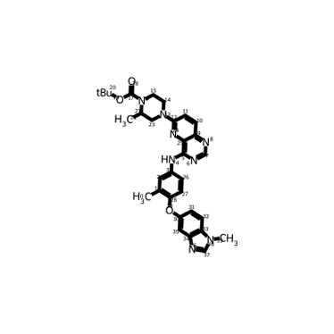 Cc1cc(Nc2ncnc3ccc(N4CCN(C(=O)OC(C)(C)C)C(C)C4)nc23)ccc1Oc1ccc2c(c1)ncn2C